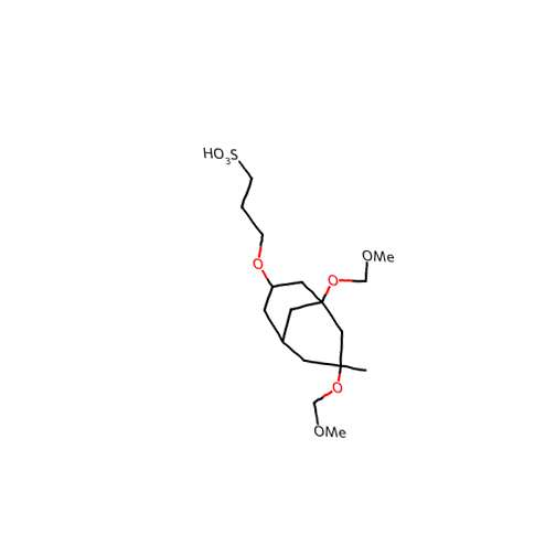 COCOC1(C)CC2CC(OCCCS(=O)(=O)O)CC(OCOC)(C2)C1